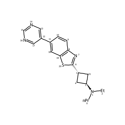 CCCN(CC)[C@H]1C[C@H](c2nc3ccc(-c4cncnc4)cc3s2)C1